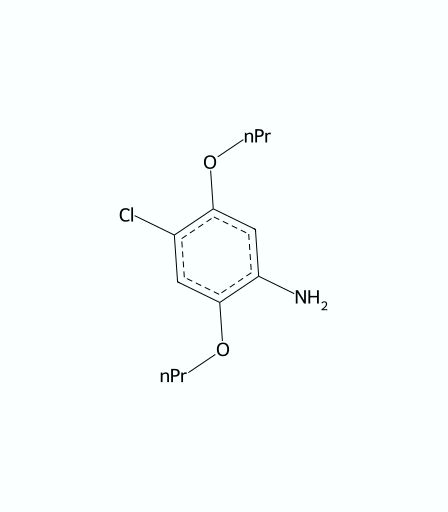 CCCOc1cc(Cl)c(OCCC)cc1N